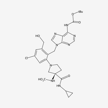 CC(C)(C)OC(=O)Nc1ncnc2c1ncn2Cc1c(CO)cc(Cl)cc1N1CC[C@](NC(=O)O)(C(=O)NC2CC2)C1